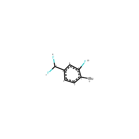 CC(C)(C)c1ccc(C(F)F)cc1F